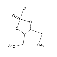 CC(=O)OCC1OP(=O)(Cl)OC1COC(C)=O